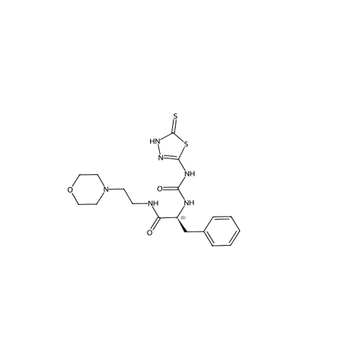 O=C(Nc1n[nH]c(=S)s1)N[C@@H](Cc1ccccc1)C(=O)NCCN1CCOCC1